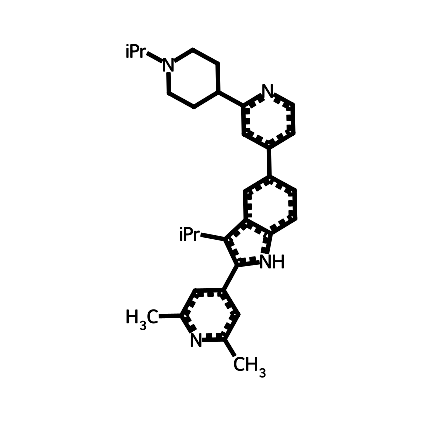 Cc1cc(-c2[nH]c3ccc(-c4ccnc(C5CCN(C(C)C)CC5)c4)cc3c2C(C)C)cc(C)n1